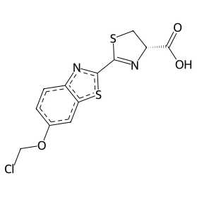 O=C(O)[C@H]1CSC(c2nc3ccc(OCCl)cc3s2)=N1